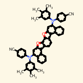 Cc1cc(N(c2ccc(C#N)cc2)c2cc3oc4c(ccc5c4oc4cc(N(c6ccc(C#N)cc6)c6cc(C)c(C)c(C)c6)c6ccccc6c45)c3c3ccccc23)cc(C)c1C